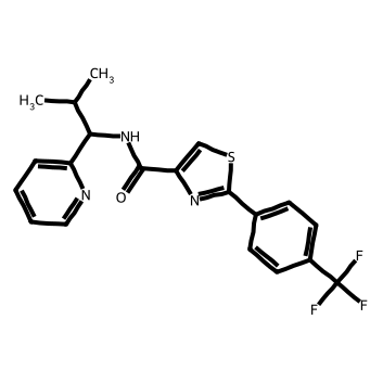 CC(C)C(NC(=O)c1csc(-c2ccc(C(F)(F)F)cc2)n1)c1ccccn1